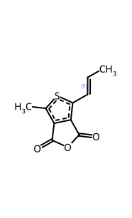 C/C=C/c1sc(C)c2c1C(=O)OC2=O